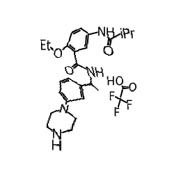 CCOc1ccc(NC(=O)C(C)C)cc1C(=O)NC(C)c1cccc(N2CCNCC2)c1.O=C(O)C(F)(F)F